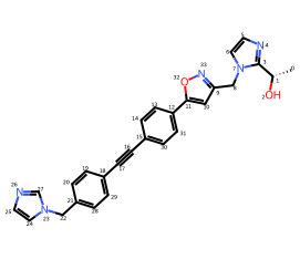 C[C@H](O)c1nccn1Cc1cc(-c2ccc(C#Cc3ccc(Cn4ccnc4)cc3)cc2)on1